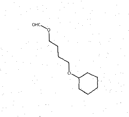 O=COCCCCOC1CCCCC1